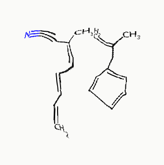 C=C(C)c1ccccc1.C=CC=CC=C(C)C#N